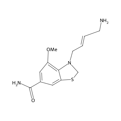 COc1cc(C(N)=O)cc2c1N(C/C=C/CN)CS2